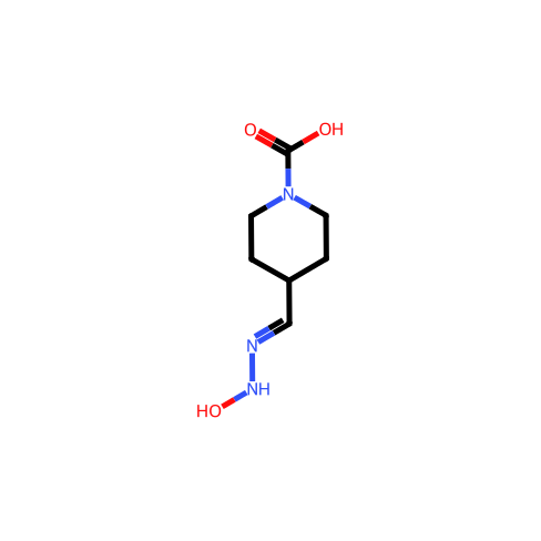 O=C(O)N1CCC(C=NNO)CC1